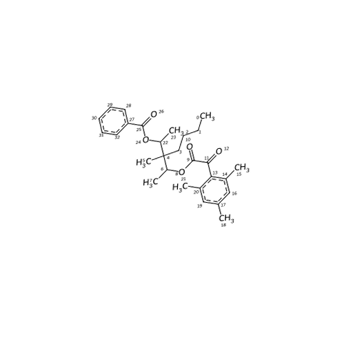 CCCCC(C)(C(C)OC(=O)C(=O)c1c(C)cc(C)cc1C)C(C)OC(=O)c1ccccc1